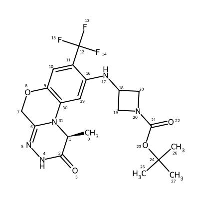 C[C@H]1C(=O)NN=C2COc3cc(C(F)(F)F)c(NC4CN(C(=O)OC(C)(C)C)C4)cc3N21